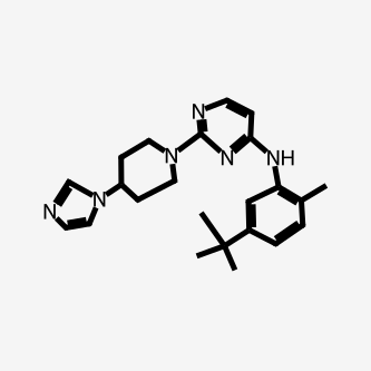 Cc1ccc(C(C)(C)C)cc1Nc1ccnc(N2CCC(n3ccnc3)CC2)n1